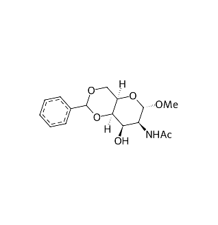 CO[C@H]1O[C@@H]2COC(c3ccccc3)O[C@@H]2[C@H](O)[C@@H]1NC(C)=O